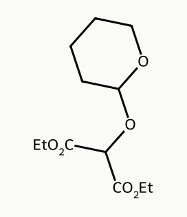 CCOC(=O)C(OC1CCCCO1)C(=O)OCC